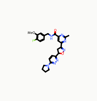 COc1cc(CNC(=O)c2cc(C3=NOC(c4ccc(N5CCCC5)nn4)C3)nc(C)n2)ccc1F